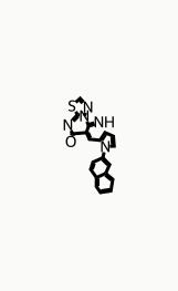 N=C1/C(=C\c2cccn2-c2ccc3ccccc3c2)C(=O)N=C2SC=NN12